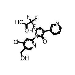 O=C(O)C(F)(F)F.O=c1c(-c2cccnc2)c[nH]n1-c1cc(Cl)c(CO)cn1